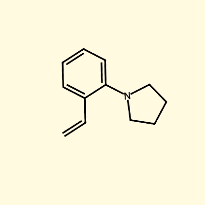 C=Cc1ccccc1N1CCCC1